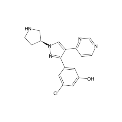 Oc1cc(Cl)cc(-c2nn([C@H]3CCNC3)cc2-c2ccncn2)c1